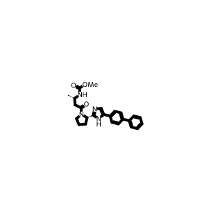 COC(=O)N[C@@H](C)CC(=O)N1CCC[C@H]1c1ncc(-c2ccc(-c3ccccc3)cc2)[nH]1